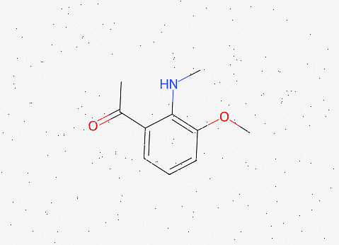 CNc1c(OC)cccc1C(C)=O